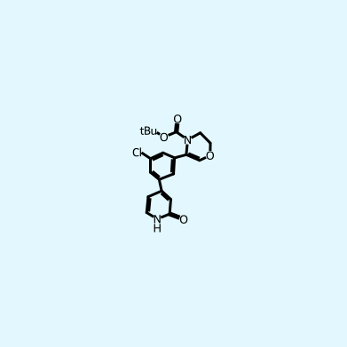 CC(C)(C)OC(=O)N1CCOC=C1c1cc(Cl)cc(-c2cc[nH]c(=O)c2)c1